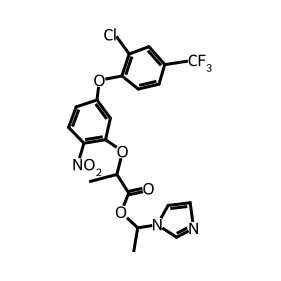 CC(Oc1cc(Oc2ccc(C(F)(F)F)cc2Cl)ccc1[N+](=O)[O-])C(=O)OC(C)n1ccnc1